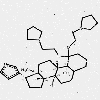 C[C@]12CC[C@H]3[C@@H](CCC4CCCC(OCCN5CCCC5)(OCCN5CCCC5)[C@@]43C)[C@@H]1CC[C@@H]2c1ccoc1